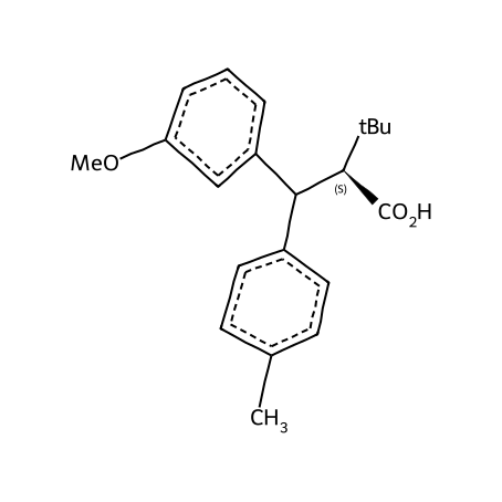 COc1cccc(C(c2ccc(C)cc2)[C@H](C(=O)O)C(C)(C)C)c1